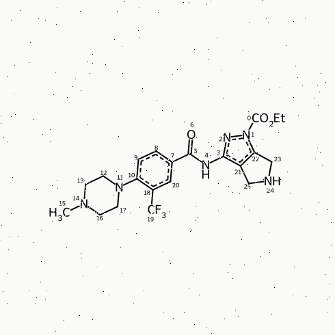 CCOC(=O)n1nc(NC(=O)c2ccc(N3CCN(C)CC3)c(C(F)(F)F)c2)c2c1CNC2